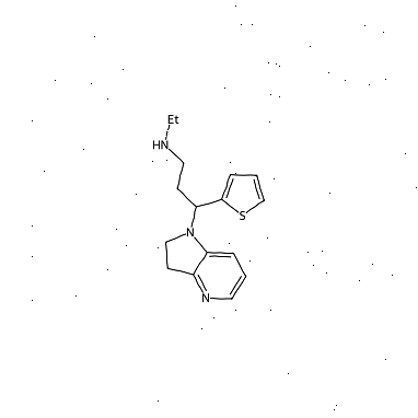 CCNCCC(c1cccs1)N1CCc2ncccc21